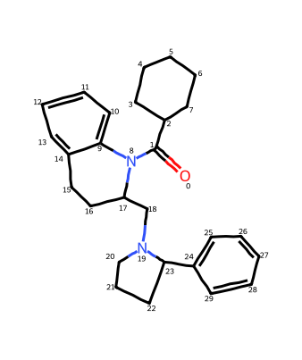 O=C(C1CCCCC1)N1c2ccccc2CCC1CN1CCCC1c1ccccc1